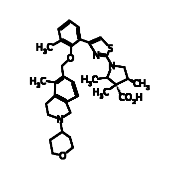 Cc1cccc(-c2csc(N3C[C@@H](C)[C@](C)(C(=O)O)C3C)n2)c1OCc1ccc2c(c1C)CCN(C1CCOCC1)C2